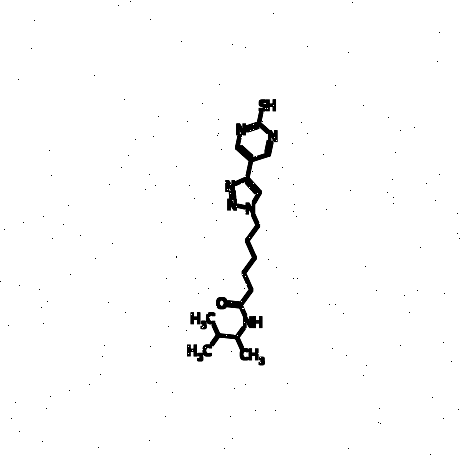 CC(C)C(C)NC(=O)CCCCCn1cc(-c2cnc(S)nc2)nn1